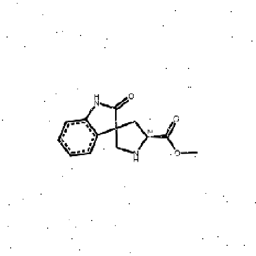 COC(=O)[C@@H]1CC2(CN1)C(=O)Nc1ccccc12